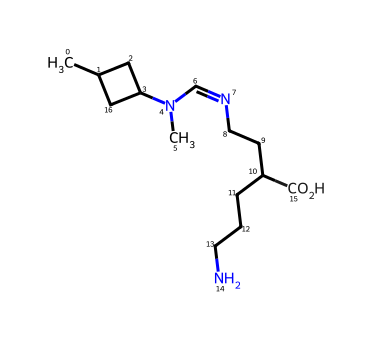 CC1CC(N(C)/C=N\CCC(CCCN)C(=O)O)C1